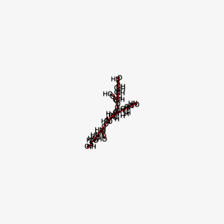 CC(=O)NCCSSCCNC(=O)NCCC(=O)NCCCCC(NC(=O)CCOCCOCCNC(=O)C(CSC1CC(=O)N(CCC(=O)NC(CCCCNC(=O)CCNC(=O)NCCSSCCNC(C)=O)C(=O)NCCOCCOCCC(=O)NC(CCCCNC(=O)CCNC(=O)NCCSSCCNC(C)=O)C(=O)NCCOCCO)C1=O)NC(C)=O)C(=O)NCCOCCO